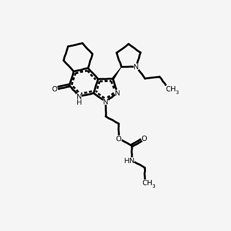 CCCN1CCC[C@@H]1c1nn(CCOC(=O)NCC)c2[nH]c(=O)c3c(c12)CCCC3